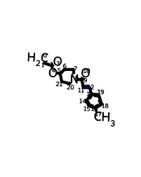 C=CC(=O)OC1CCN(C(=O)/C=C/c2ccc(C)cc2)CC1